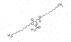 CCCCCCCCCCCCOC(=O)CC(SOC(C)=O)C(=O)OCCCCCCCCCCCC